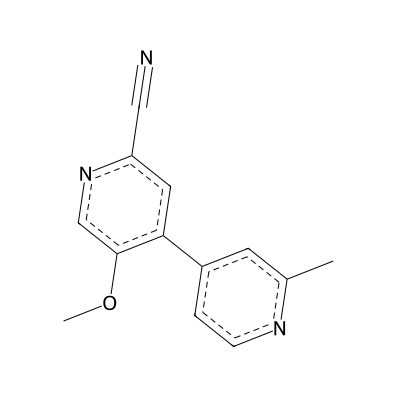 COc1cnc(C#N)cc1-c1ccnc(C)c1